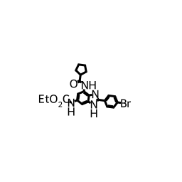 CCOC(=O)Nc1cc(NC(=O)C2CCCC2)c2nc(-c3ccc(Br)cc3)[nH]c2c1